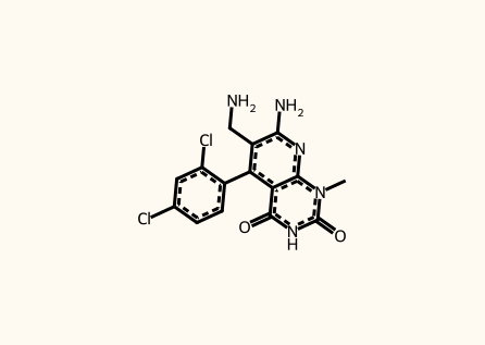 Cn1c(=O)[nH]c(=O)c2c(-c3ccc(Cl)cc3Cl)c(CN)c(N)nc21